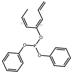 C=C/C=C(\C=C/C)OP(Oc1ccccc1)Oc1ccccc1